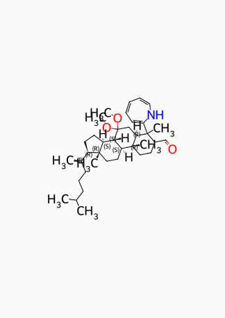 COC1(OC)C[C@H]2C(C)(C3=CC=CC=CN3)C(C=O)CC[C@]2(C)[C@H]2CC[C@]3(C)[C@@H]([C@H](C)CCCC(C)C)CC[C@H]3[C@@H]21